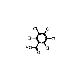 O=C(O)c1c(Cl)c(Cl)c(Cl)c(Cl)c1Cl